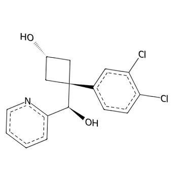 O[C@@H](c1ccccn1)[C@]1(c2ccc(Cl)c(Cl)c2)C[C@H](O)C1